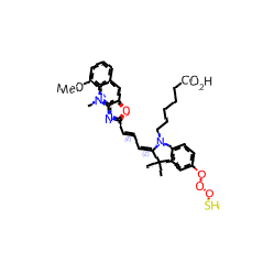 COc1cccc2cc3oc(/C=C/C=C4\N(CCCCCC(=O)O)c5ccc(OOOS)cc5C4(C)C)nc3[n+](C)c12